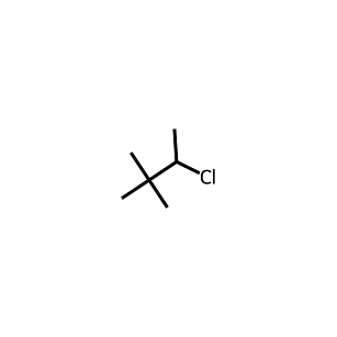 CC(Cl)C(C)(C)C